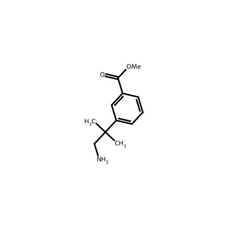 COC(=O)c1cccc(C(C)(C)CN)c1